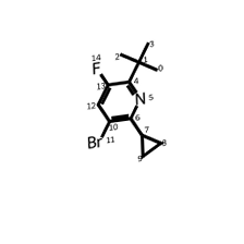 CC(C)(C)c1nc(C2CC2)c(Br)cc1F